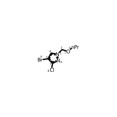 CCCOCn1cc(Br)c(Cl)n1